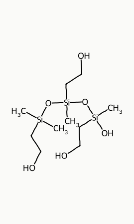 C[Si](C)(CCO)O[Si](C)(CCO)O[Si](C)(O)CCO